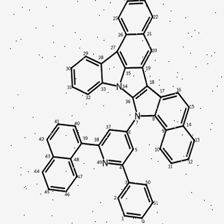 c1ccc(-c2cc(-n3c4c5ccccc5ccc4c4c5cc6ccccc6c6c7ccccc7n(c56)c43)cc(-c3cccc4ccccc34)n2)cc1